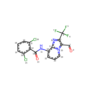 O=Cc1c(C(F)(F)F)nc2c(NC(=O)c3c(Cl)cccc3Cl)cccn12